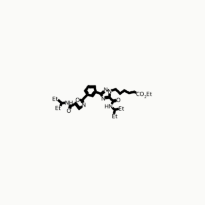 CCOC(=O)CCCCCn1nc(-c2cccc(-c3ncc(C(=O)NC(CC)CC)o3)c2)nc1C(=O)NC(CC)CC